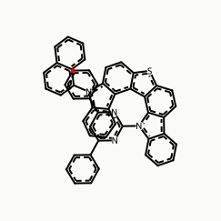 c1ccc(-c2cc(-c3ccccc3)nc(-n3c4ccccc4c4ccc5sc6ccc7c(c8ccccc8n7-c7cccc8ccccc78)c6c5c43)n2)cc1